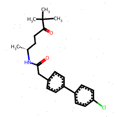 C[C@H](CCC(=O)C(C)(C)C)NC(=O)Cc1ccc(-c2ccc(Cl)cc2)cc1